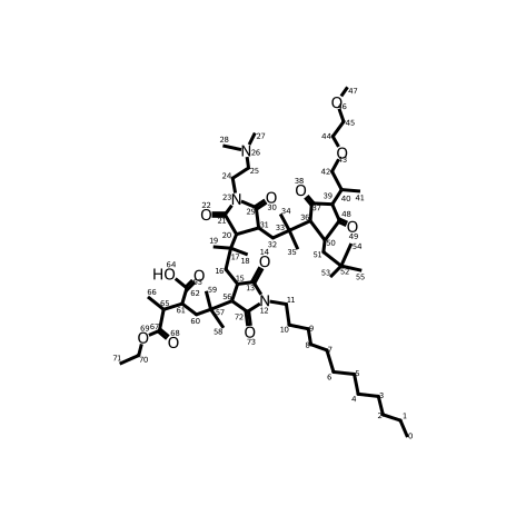 CCCCCCCCCCCCN1C(=O)C(CC(C)(C)C2C(=O)N(CCN(C)C)C(=O)C2CC(C)(C)C2C(=O)C(C(C)COCCOC)C(=O)C2CC(C)(C)C)C(C(C)(C)CC(C(=O)O)C(C)C(=O)OCC)C1=O